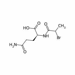 CC(Br)C(=O)N[C@@H](CCC(N)=O)C(=O)O